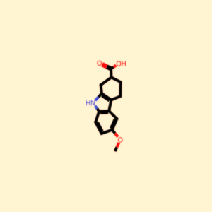 COc1ccc2[nH]c3c(c2c1)CCC(C(=O)O)C3